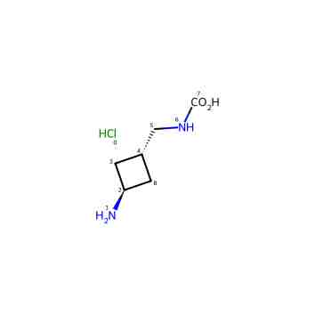 Cl.N[C@H]1C[C@H](CNC(=O)O)C1